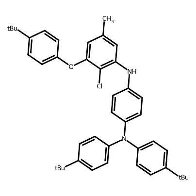 Cc1cc(Nc2ccc(N(c3ccc(C(C)(C)C)cc3)c3ccc(C(C)(C)C)cc3)cc2)c(Cl)c(Oc2ccc(C(C)(C)C)cc2)c1